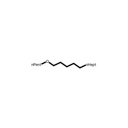 [CH2]CCCCOCCCCCCCCCCCC